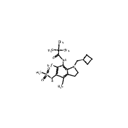 Cc1c2c(c(NC(=O)C(C)(C)C)c(C)c1NS(C)(=O)=O)N(CC1CCC1)CC2